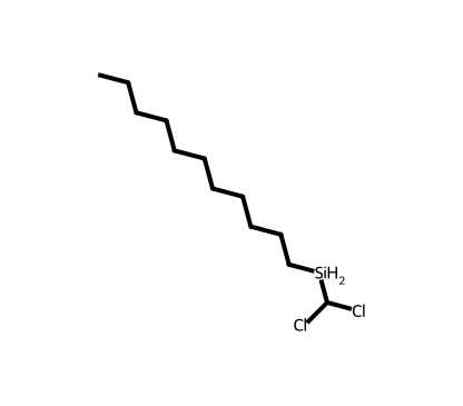 CCCCCCCCCCC[SiH2]C(Cl)Cl